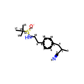 CC(C#N)Cc1ccc(CCN[S+]([O-])C(C)(C)C)cc1